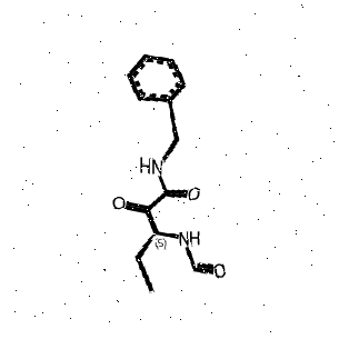 CC[C@H](NC=O)C(=O)C(=O)NCc1ccccc1